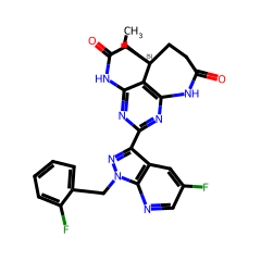 CC[C@@]12CCC(=O)Nc3nc(-c4nn(Cc5ccccc5F)c5ncc(F)cc45)nc(c31)NC(=O)C2